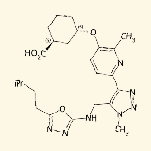 Cc1nc(-c2nnn(C)c2CNc2nnc(CCC(C)C)o2)ccc1O[C@H]1CCC[C@H](C(=O)O)C1